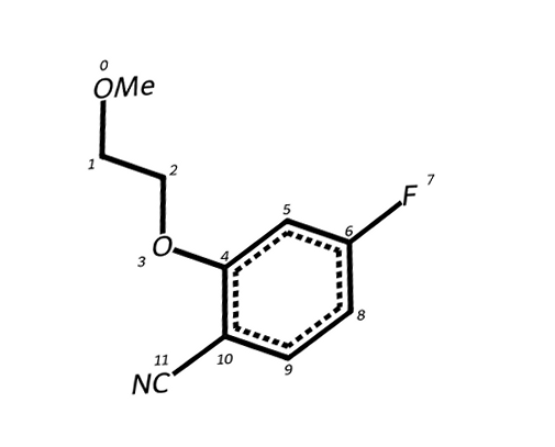 COCCOc1cc(F)ccc1C#N